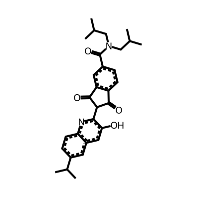 CC(C)CN(CC(C)C)C(=O)c1ccc2c(c1)C(=O)C(c1nc3ccc(C(C)C)cc3cc1O)C2=O